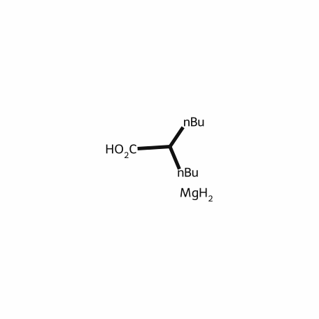 CCCCC(CCCC)C(=O)O.[MgH2]